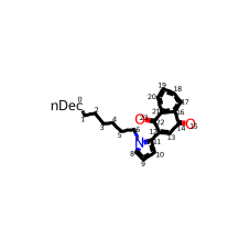 CCCCCCCCCCCCCCCCn1cccc1C1=CC(=O)c2ccccc2C1=O